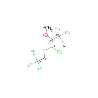 CO/C(=C(/Cl)CCC(F)(F)F)C(F)(F)F